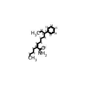 CCCCC(=CCCCC(CC)c1ccccc1)C(N)=O